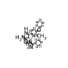 Cc1nc(/C(N)=C(\Cn2ncnc2-c2ccccc2)N(C)N)ccc1OC1CCCCC1